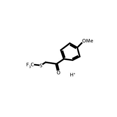 COc1ccc(C(=O)CSC(F)(F)F)cc1.[H+]